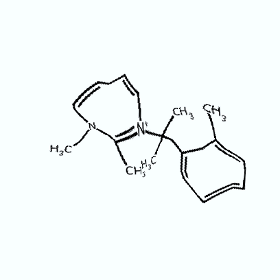 CC1=[N+](C(C)(C)c2ccccc2C)C=CC=CN1C